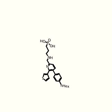 CCCCCCc1ccc(-c2ccc(CNCCCP(=O)(O)O)nc2-c2ccsc2)cc1